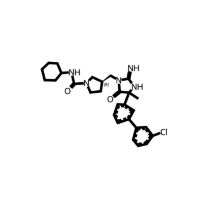 CC1(c2cccc(-c3cccc(Cl)c3)c2)NC(=N)N(C[C@H]2CCN(C(=O)NC3CCCCC3)C2)C1=O